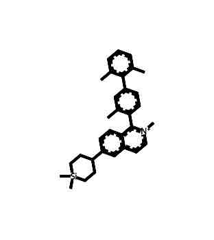 Cc1cc(-c2c(C)cccc2C)ccc1-c1c2ccc(C3CC[Si](C)(C)CC3)cc2cc[n+]1C